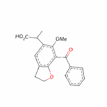 COc1c(C(C)C(=O)O)cc2c(c1C(=O)c1ccccc1)OCC2